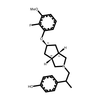 COc1cccc(O[C@H]2C[C@@H]3CN(CC(C)c4ccc(O)cc4)C[C@@H]3C2)c1F